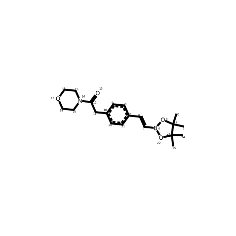 CC1(C)OB(/C=C/c2ccc(CC(=O)N3CCOCC3)cc2)OC1(C)C